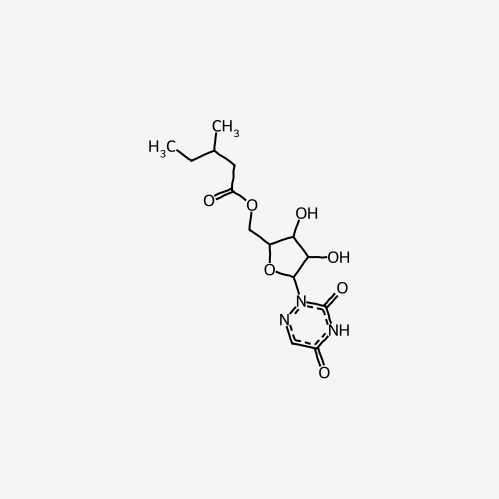 CCC(C)CC(=O)OCC1OC(n2ncc(=O)[nH]c2=O)C(O)C1O